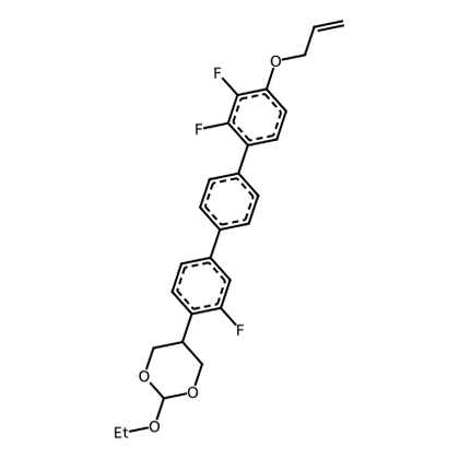 C=CCOc1ccc(-c2ccc(-c3ccc(C4COC(OCC)OC4)c(F)c3)cc2)c(F)c1F